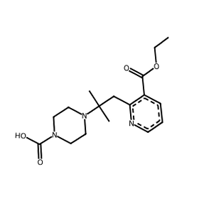 CCOC(=O)c1cccnc1CC(C)(C)N1CCN(C(=O)O)CC1